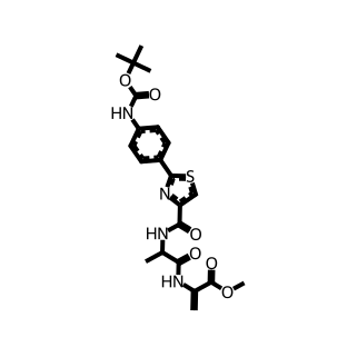 C=C(NC(=O)C(C)NC(=O)c1csc(-c2ccc(NC(=O)OC(C)(C)C)cc2)n1)C(=O)OC